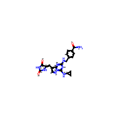 NC(=O)c1ccc(CNc2nc(NC3CC3)n3ncc(/C=C4\NC(=O)NC4=O)c3n2)cc1